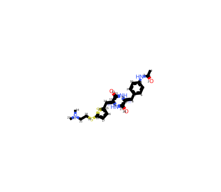 CC(=O)Nc1ccc(/C=c2\[nH]c(=O)/c(=C/c3ccc(SCCN(C)C)s3)[nH]c2=O)cc1